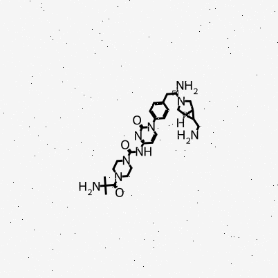 CC(C)(N)C(=O)N1CCN(C(=O)Nc2ccn(-c3ccc(C[C@H](N)N4CC5C(CN)[C@H]5C4)cc3)c(=O)n2)CC1